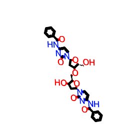 O=C(Nc1ccn([C@H]2CC(O)[C@@H](COC3C[C@H](n4ccc(NC(=O)c5ccccc5)nc4=O)O[C@@H]3CO)O2)c(=O)n1)c1ccccc1